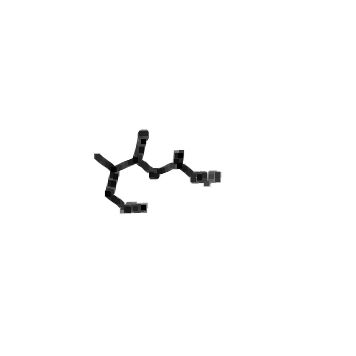 CCCCCCC=C(C)C(=O)ONC(=O)OCC